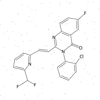 O=c1c2cc(F)ccc2nc(C=Cc2cccc(C(F)F)n2)n1-c1ccccc1Cl